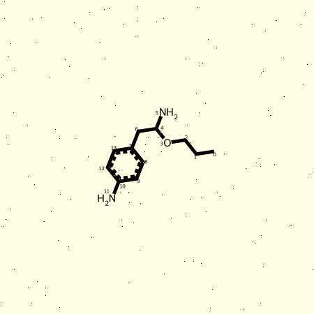 CCCOC(N)Cc1ccc(N)cc1